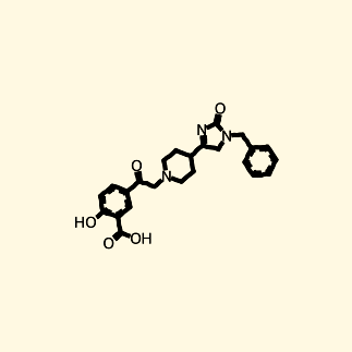 O=C(CN1CCC(C2=NC(=O)N(Cc3ccccc3)C2)CC1)c1ccc(O)c(C(=O)O)c1